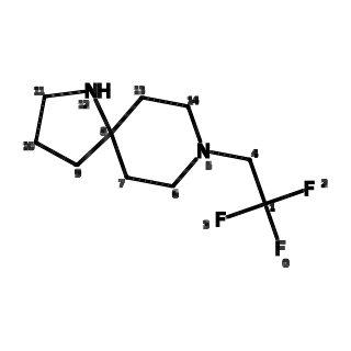 FC(F)(F)CN1CCC2(CCCN2)CC1